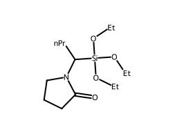 CCCC(N1CCCC1=O)[Si](OCC)(OCC)OCC